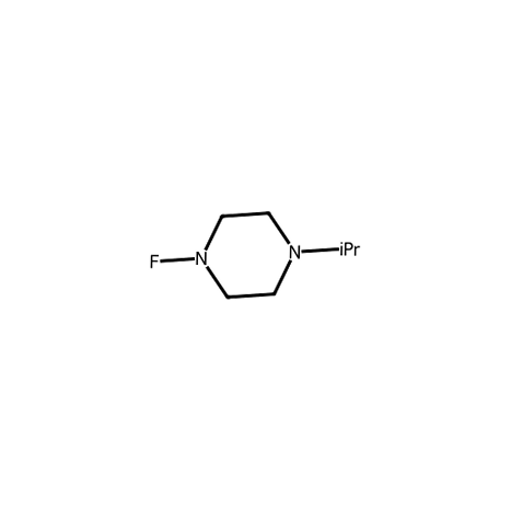 CC(C)N1CCN(F)CC1